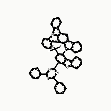 FC(F)(F)c1cc(-c2nc(-c3ccccc3)nc(-c3ccccc3)n2)c2oc3ccccc3c2c1-n1c2ccccc2c2cc3c4ccccc4n4c5ccccc5c(c21)c34